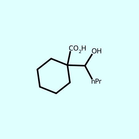 CCCC(O)C1(C(=O)O)CCCCC1